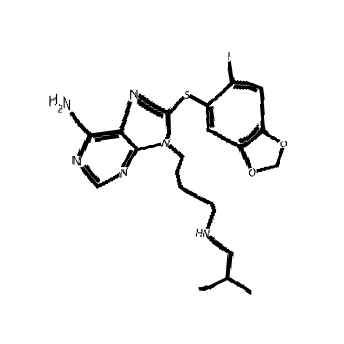 CC(C)CNCCCn1c(Sc2cc3c(cc2I)OCO3)nc2c(N)ncnc21